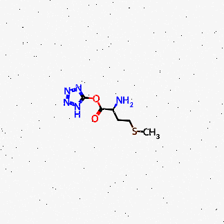 CSCC[C@H](N)C(=O)Oc1nnn[nH]1